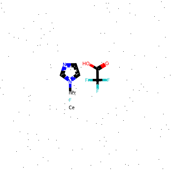 CCCn1ccnc1.O=C(O)C(F)(F)F.[Ce].[F]